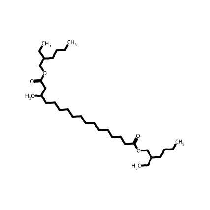 CCCCC(CC)COC(=O)CCCCCCCCCCCCCC(C)CC(=O)OCC(CC)CCCC